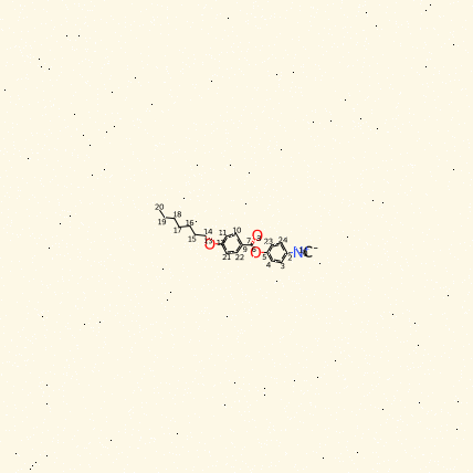 [C-]#[N+]c1ccc(OC(=O)c2ccc(OCCCCCCC)cc2)cc1